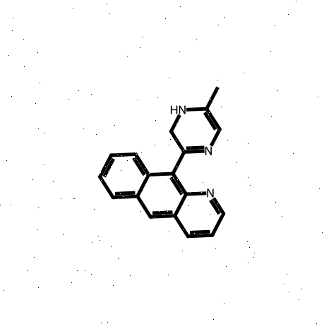 CC1=CN=C(c2c3ccccc3cc3cccnc23)CN1